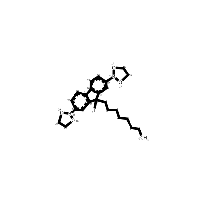 CCCCCCCCC1(I)c2cc(B3OCCO3)ccc2-c2ccc(B3OCCO3)cc21